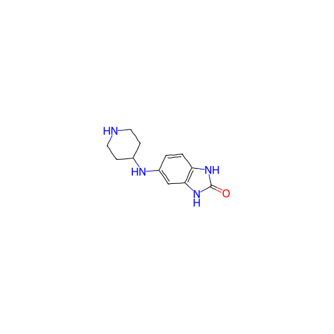 O=c1[nH]c2ccc(NC3CCNCC3)cc2[nH]1